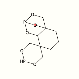 C1CC2(COPOC2)C2OP3OCC2(C1)CO3